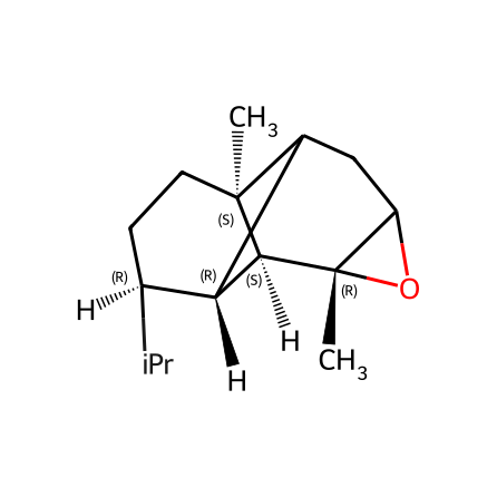 CC(C)[C@H]1CC[C@@]2(C)C3CC4O[C@]4(C)[C@H]2[C@@H]31